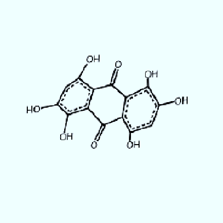 O=C1c2c(O)cc(O)c(O)c2C(=O)c2c(O)cc(O)c(O)c21